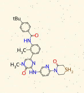 Cc1c(NC(=O)c2ccc(C(C)(C)C)cc2)cccc1-c1cn(C)c(=O)c(Nc2ccc(N3CC[SH2]CC3=O)nc2)n1